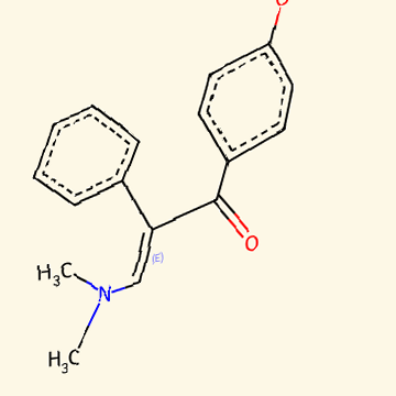 COc1ccc(C(=O)/C(=C/N(C)C)c2ccccc2)cc1